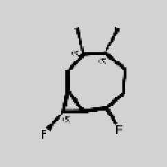 C[C@@H]1CC2C(C(F)CC[C@@H]1C)[C@H]2F